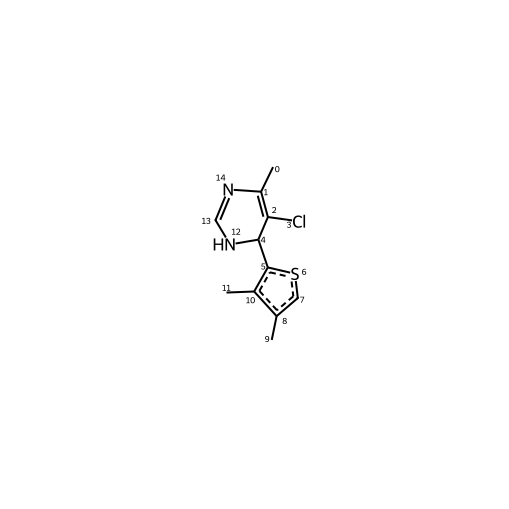 CC1=C(Cl)C(c2scc(C)c2C)NC=N1